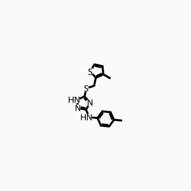 Cc1ccc(Nc2n[nH]c(SCc3sccc3C)n2)cc1